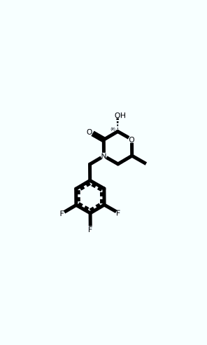 CC1CN(Cc2cc(F)c(F)c(F)c2)C(=O)[C@H](O)O1